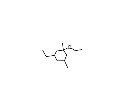 CCOC1(C)CC(C)CC(CC)C1